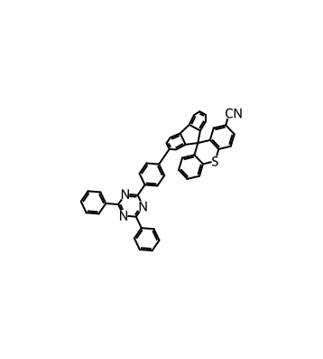 N#Cc1ccc2c(c1)C1(c3ccccc3S2)c2ccccc2-c2ccc(-c3ccc(-c4nc(-c5ccccc5)nc(-c5ccccc5)n4)cc3)cc21